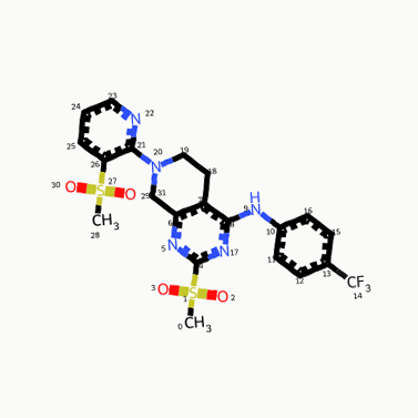 CS(=O)(=O)c1nc2c(c(Nc3ccc(C(F)(F)F)cc3)n1)CCN(c1ncccc1S(C)(=O)=O)C2